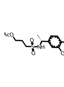 CC(=O)OCCCS(=O)(=O)N[C@H](C)c1ccc(F)c(OCC(C)C)c1